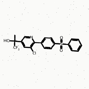 CC(O)(c1cnc(-c2ccc(S(=O)(=O)c3ccccc3)cc2)c(Cl)c1)C(F)(F)F